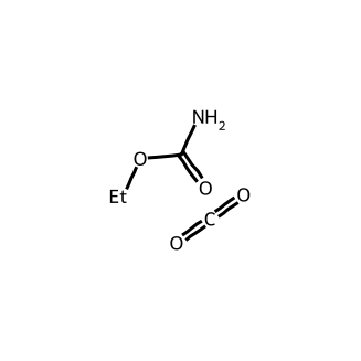 CCOC(N)=O.O=C=O